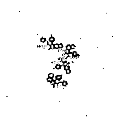 CCCC(C(=O)O)c1c(-c2ccc(C)cc2)c2c3c(ccc2n(CCC)c1=O)CCC3.CCCC(C(=O)O)c1c(-c2ccc(C)cc2)c2cc3c(cc2n(CCC)c1=O)CCC3.Cc1ccc(-c2c(C(Cc3ccccc3)C(=O)O)c(C)nc3cc4c(cc23)CCC4)cc1.Cc1ccc(-c2c(C(Cc3ccccc3)C(=O)O)c(C)nc3ccc4c(c23)CCCC4)cc1